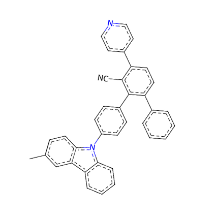 Cc1ccc2c(c1)c1ccccc1n2-c1ccc(-c2c(-c3ccccc3)ccc(-c3ccncc3)c2C#N)cc1